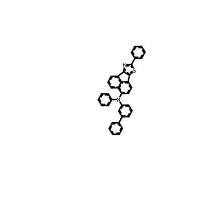 c1ccc(-c2cccc(N(c3ccccc3)c3ccc4c5c(cccc35)-c3nc(-c5ccccc5)sc3-4)c2)cc1